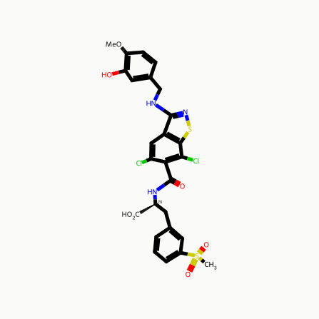 COc1ccc(CNc2nsc3c(Cl)c(C(=O)N[C@@H](Cc4cccc(S(C)(=O)=O)c4)C(=O)O)c(Cl)cc23)cc1O